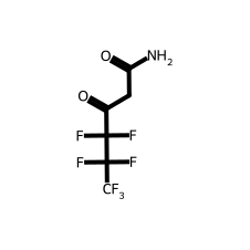 NC(=O)CC(=O)C(F)(F)C(F)(F)C(F)(F)F